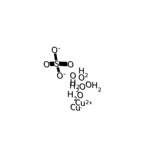 O.O.O.O.O.O=S(=O)([O-])[O-].[Cu+2].[Cu]